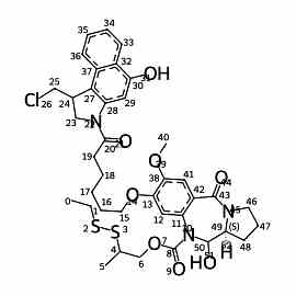 CCSSC(C)COC(=O)N1c2cc(OCCCCCC(=O)N3CC(CCl)c4c3cc(O)c3ccccc43)c(OC)cc2C(=O)N2CCC[C@H]2C1O